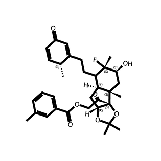 Cc1cccc(C(=O)OCC(=O)[C@@]23OC(C)(C)O[C@@H]2C[C@H]2C(CCC4=CC(=O)C=C[C@H]4C)[C@](C)(F)[C@@H](O)C[C@@]23C)c1